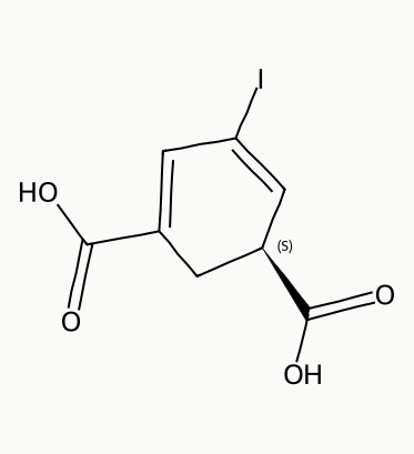 O=C(O)C1=CC(I)=C[C@@H](C(=O)O)C1